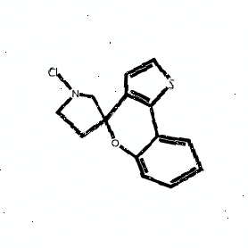 ClN1CCC2(C1)Oc1ccccc1-c1sccc12